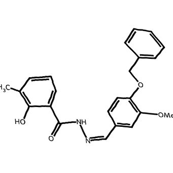 COc1cc(/C=N\NC(=O)c2cccc(C)c2O)ccc1OCc1ccccc1